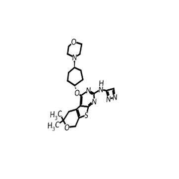 CC1(C)Cc2c(sc3nc(NC4=NN=C4)nc(O[C@H]4CC[C@H](N5CCOCC5)CC4)c23)CO1